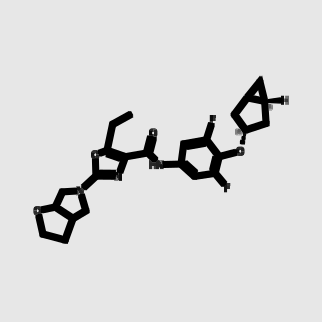 CCc1oc(N2CC3CCOC3C2)nc1C(=O)Nc1cc(F)c(O[C@@H]2CC3C[C@@H]3C2)c(F)c1